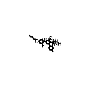 CCCCCOc1ccc(-c2cc(-c3ccc(C)cc3)c(-c3nn[nH]n3)c(=O)[nH]2)c(F)c1